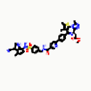 COC(=O)C[C@@H]1N=C(c2ccc(-c3ccc(C(=O)NCc4ccc(S(=O)(=O)Nc5ccc(C)c6c(C#N)c[nH]c56)cc4)cn3)cc2)c2c(sc(C)c2C)-n2c(C)nnc21